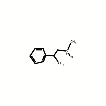 CC(C[SiH](C)O)c1ccccc1